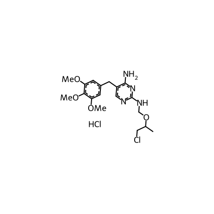 COc1cc(Cc2cnc(NCOC(C)CCl)nc2N)cc(OC)c1OC.Cl